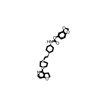 O=C(N[C@H]1CC[C@H](CCN2CCN(c3nccc4c3CCO4)CC2)CC1)Oc1ccc2c(c1)OCO2